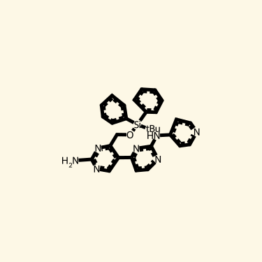 CC(C)(C)[Si](OCc1nc(N)ncc1-c1ccnc(Nc2ccncc2)n1)(c1ccccc1)c1ccccc1